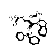 C1CCC(NC2CCCCC2)CC1.CC(=O)SCCC(=O)N1c2ccccc2CC[C@H]1C(=O)O